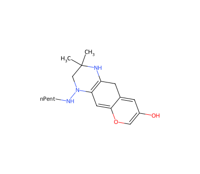 CCCCCNN1CC(C)(C)NC2=C1C=C1OC=C(O)C=C1C2